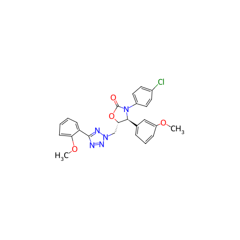 COc1cccc([C@H]2[C@H](Cn3nnc(-c4ccccc4OC)n3)OC(=O)N2c2ccc(Cl)cc2)c1